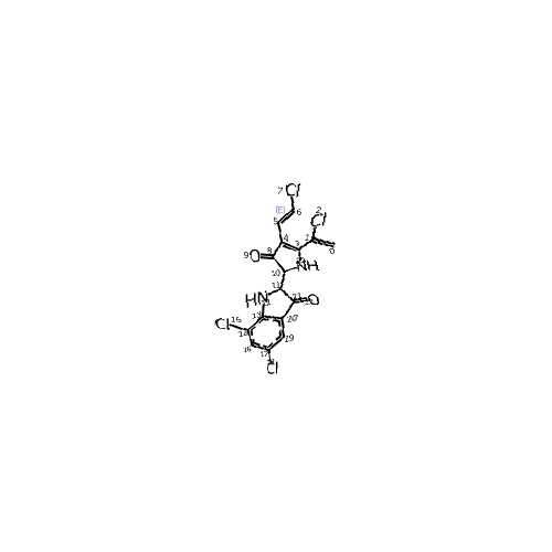 C=C(Cl)C1=C(/C=C/Cl)C(=O)C(C2Nc3c(Cl)cc(Cl)cc3C2=O)N1